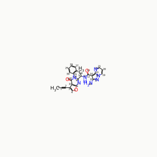 CC#Cc1coc2nc(C(C)NC(=O)c3c(N)nn4cccnc34)n(-c3ccccc3)c(=O)c12